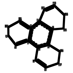 C1=Cc2c(c3c(c4c2=CCCC=4)C=CCC3)CC1